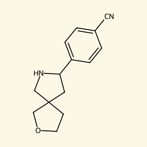 N#Cc1ccc(C2CC3(CCOC3)CN2)cc1